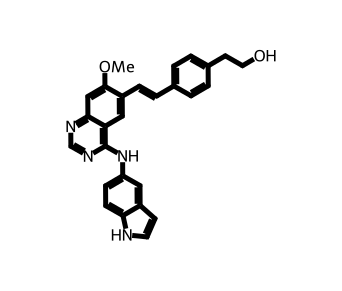 COc1cc2ncnc(Nc3ccc4[nH]ccc4c3)c2cc1C=Cc1ccc(CCO)cc1